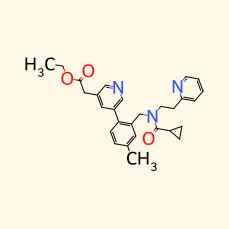 CCOC(=O)Cc1cncc(-c2ccc(C)cc2CN(CCc2ccccn2)C(=O)C2CC2)c1